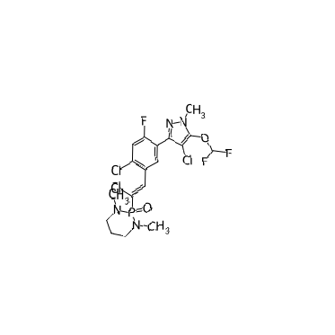 CN1CCCN(C)P1(=O)C(Cl)=Cc1cc(-c2nn(C)c(OC(F)F)c2Cl)c(F)cc1Cl